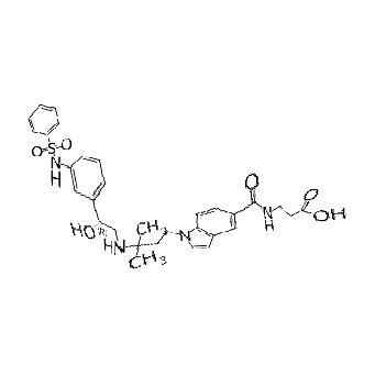 CC(C)(CCn1ccc2cc(C(=O)NCCC(=O)O)ccc21)NC[C@H](O)c1cccc(NS(=O)(=O)c2ccccc2)c1